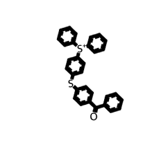 O=C(c1ccccc1)c1ccc(Sc2ccc([S+](c3ccccc3)c3ccccc3)cc2)cc1